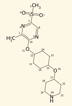 Cc1nc(S(C)(=O)=O)cnc1OC1CCC(OC2CCNCC2)CC1